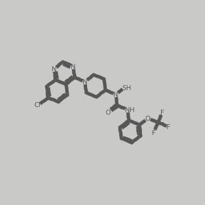 O=C(Nc1ccccc1OC(F)(F)F)N(S)C1CCN(c2ncnc3cc(Cl)ccc23)CC1